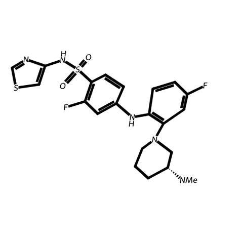 CN[C@@H]1CCCN(c2cc(F)ccc2Nc2ccc(S(=O)(=O)Nc3cscn3)c(F)c2)C1